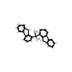 CC(C)(c1cccc2c1Cc1ccccc1-2)c1cccc2c1Cc1ccccc1-2